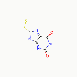 O=C1N=C2N=C(SS)N=C2C(=O)N1